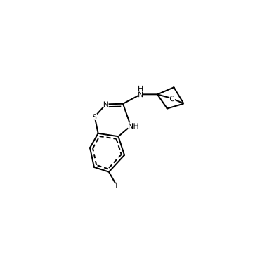 Ic1ccc2c(c1)NC(NC13CC(C1)C3)=NS2